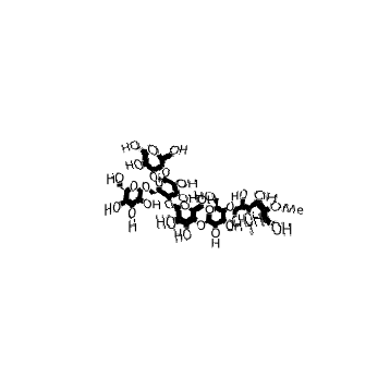 COC(CO)C(O)C(O)C(O)C(C)OC1C(O)C(O)[C@@H](OC2C(CO)OC(OC3C(O)C(O)[C@@H](OC4C(CO)OC(O)C(O)C4O)O[C@H]3CO[C@H]3O[C@@H](CO)C(O)C(O)C3O)C(O)C2O)O[C@H]1CO